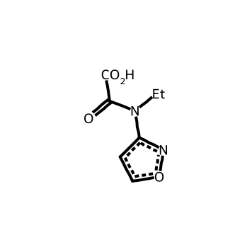 CCN(C(=O)C(=O)O)c1ccon1